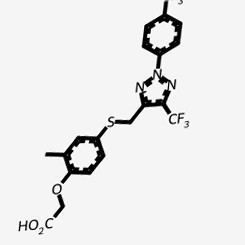 Cc1cc(SCc2nn(-c3ccc(C(F)(F)F)cc3)nc2C(F)(F)F)ccc1OCC(=O)O